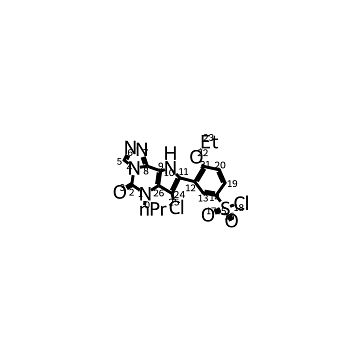 CCCn1c(=O)n2cnnc2c2[nH]c(-c3cc(S(=O)(=O)Cl)ccc3OCC)c(Cl)c21